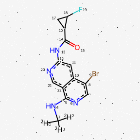 [2H]C([2H])([2H])Nc1ncc(Br)c2cc(NC(=O)C3CC3F)ncc12